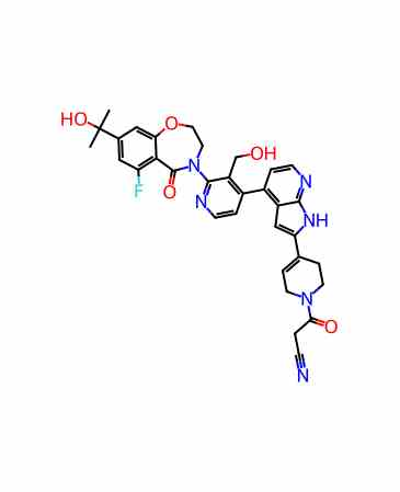 CC(C)(O)c1cc(F)c2c(c1)OCCN(c1nccc(-c3ccnc4[nH]c(C5=CCN(C(=O)CC#N)CC5)cc34)c1CO)C2=O